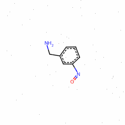 NCc1cccc(N=O)c1